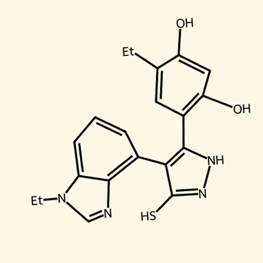 CCc1cc(-c2[nH]nc(S)c2-c2cccc3c2ncn3CC)c(O)cc1O